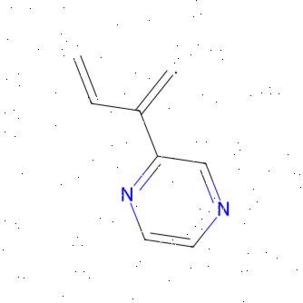 [CH]=C(C=C)c1cnccn1